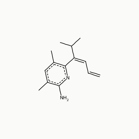 C=C/C=C(\c1nc(N)c(C)cc1C)C(C)C